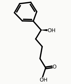 O=C(O)CCC[C@H](O)c1ccccc1